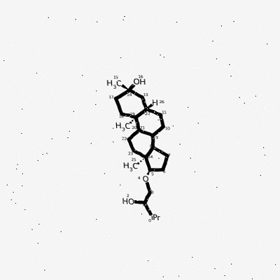 CC(C)C(O)CO[C@H]1CCC2C3CC[C@H]4C[C@@](C)(O)CC[C@]4(C)C3CC[C@@]21C